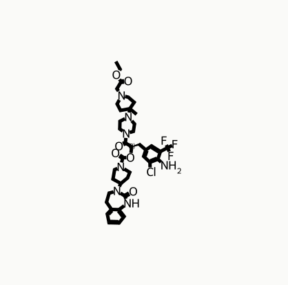 CCOC(=O)CN1CCC(C)(N2CCN(C(=O)[C@@H](Cc3cc(Cl)c(N)c(C(F)(F)F)c3)OC(=O)N3CCC(N4CCc5ccccc5NC4=O)CC3)CC2)CC1